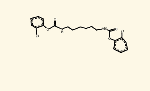 CCc1ccccc1OC(=O)NCCCCCCNC(=O)Oc1ccccc1CC